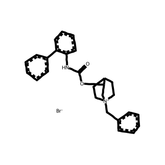 O=C(Nc1ccccc1-c1ccccc1)OC1C[N+]2(Cc3ccccc3)CCC1CC2.[Br-]